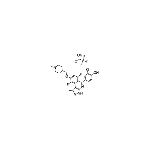 Cc1n[nH]c2nc(-c3ccc(O)c(Cl)c3)c3c(F)cc(OCC4CCN(C)CC4)c(F)c3c12.O=C(O)C(F)(F)F